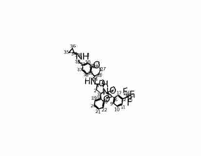 O=C(C[C@@H](NS(=O)(=O)c1cccc(C(F)(F)F)c1)c1ccccc1)N[C@@H]1CCOc2cc(CNC3CC3)ccc21